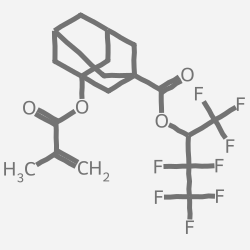 C=C(C)C(=O)OC12CC3CC(C1)CC(C(=O)OC(C(F)(F)F)C(F)(F)C(F)(F)F)(C3)C2